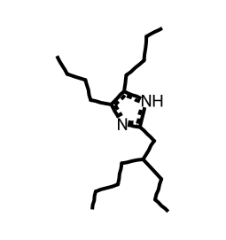 CCCCc1nc(CC(CCC)CCCC)[nH]c1CCCC